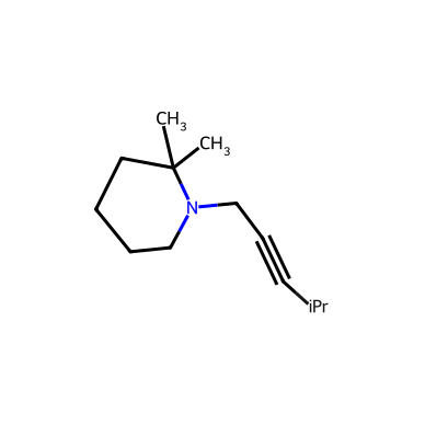 CC(C)C#CCN1CCCCC1(C)C